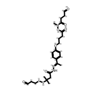 C/C(=N\NC(=O)CC(C)(C)SSCCC=O)c1ccc(OCCCC(=O)ON(C)C(=O)CCC=O)cc1